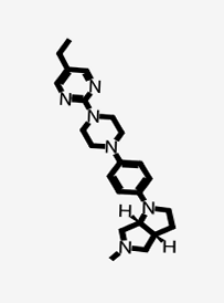 CCc1cnc(N2CCN(c3ccc(N4CC[C@@H]5CN(C)C[C@@H]54)cc3)CC2)nc1